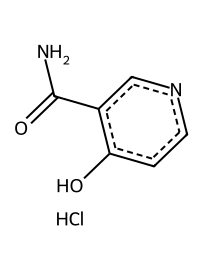 Cl.NC(=O)c1cnccc1O